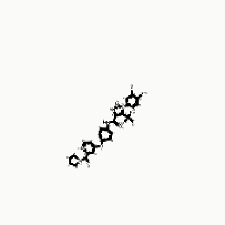 O=C(Nc1ccc(Oc2ccnc(C(=O)N3CCCC3)c2)cc1)c1nnn(-c2ccc(F)c(F)c2)c1C(F)(F)F